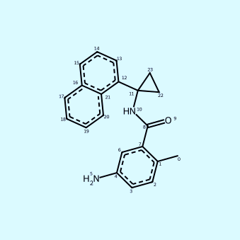 Cc1ccc(N)cc1C(=O)NC1(c2cccc3ccccc23)CC1